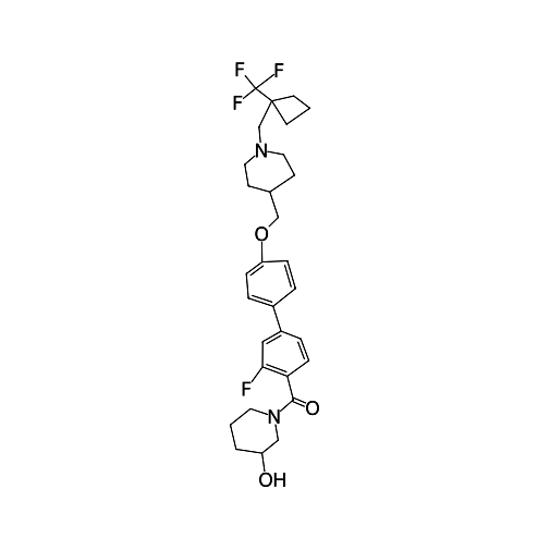 O=C(c1ccc(-c2ccc(OCC3CCN(CC4(C(F)(F)F)CCC4)CC3)cc2)cc1F)N1CCCC(O)C1